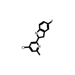 Cc1cc(Cl)cc(C2Cc3cc(F)ccc3[N]2)n1